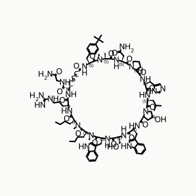 CCCC[C@H]1C(=O)N(C)[C@@H](CCCC)C(=O)N[C@@H](CCCNC(=N)N)C(=O)N[C@H](C(=O)NCC(N)=O)CSCC(=O)N[C@@H](Cc2ccc(C(C)(C)C)cc2)C(=O)N(C)[C@@H](C)C(=O)N[C@@H](CC(N)=O)C(=O)N2CCC[C@H]2C(=O)N[C@@H](Cc2cnc[nH]2)C(=O)N[C@@H](CC(C)C)C(=O)N2C[C@H](O)CC2C(=O)N[C@@H](Cc2c[nH]c3ccccc23)C(=O)N[C@@H](CO)C(=O)N[C@@H](Cc2c[nH]c3ccccc23)C(=O)N1C